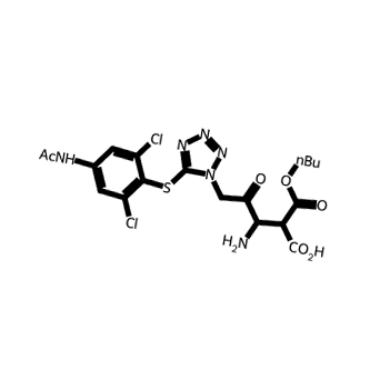 CCCCOC(=O)C(C(=O)O)C(N)C(=O)Cn1nnnc1Sc1c(Cl)cc(NC(C)=O)cc1Cl